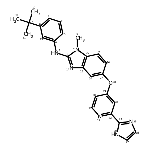 Cn1c(Nc2cccc(C(C)(C)C)c2)nc2cc(Oc3ccnc(-c4ncc[nH]4)c3)ccc21